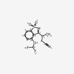 CN(CC#N)C1=NS(=O)(=O)c2cccc(OC(F)F)c21